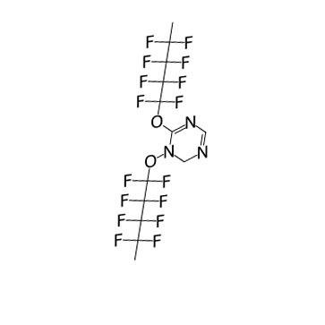 CC(F)(F)C(F)(F)C(F)(F)C(F)(F)OC1=NC=NCN1OC(F)(F)C(F)(F)C(F)(F)C(C)(F)F